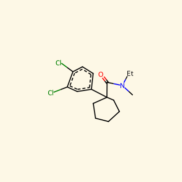 CCN(C)C(=O)C1(c2ccc(Cl)c(Cl)c2)CCCCC1